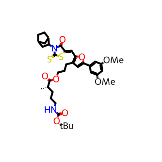 COc1cc(OC)cc(-c2cc(CCCOC(=O)[C@@H](C)CCCNC(=O)OC(C)(C)C)c(/C=C3\SC(=S)N(C4CC5CCC4C5)C3=O)o2)c1